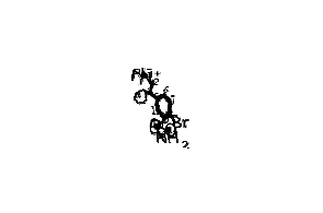 [N-]=[N+]=CC(=O)c1ccc(Br)c(S(N)(=O)=O)c1